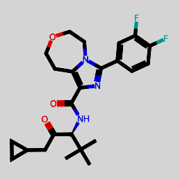 CC(C)(C)[C@H](NC(=O)c1nc(-c2ccc(F)c(F)c2)n2c1CCOCC2)C(=O)CC1CC1